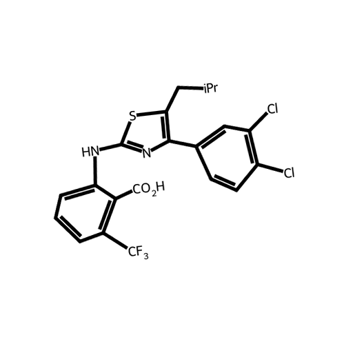 CC(C)Cc1sc(Nc2cccc(C(F)(F)F)c2C(=O)O)nc1-c1ccc(Cl)c(Cl)c1